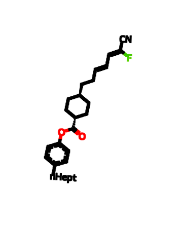 CCCCCCCc1ccc(OC(=O)[C@H]2CC[C@H](CCC=CC=C(F)C#N)CC2)cc1